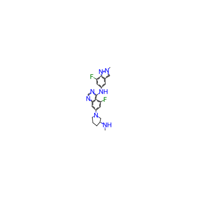 CN[C@H]1CCCN(c2cc(F)c3c(Nc4cc(F)c5nn(C)cc5c4)ncnc3c2)C1